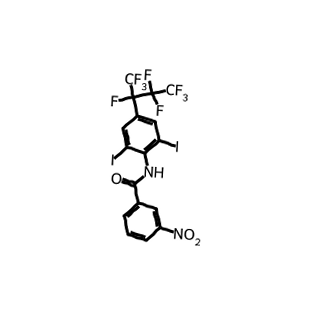 O=C(Nc1c(I)cc(C(F)(C(F)(F)F)C(F)(F)C(F)(F)F)cc1I)c1cccc([N+](=O)[O-])c1